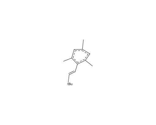 Cc1cc(C)c(/C=C/C(C)(C)C)c(C)c1